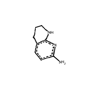 Nc1ccc2c(n1)NCCC2